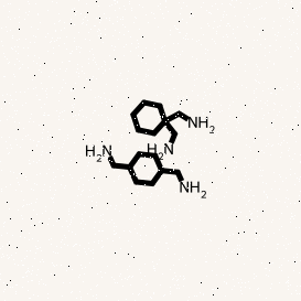 NCC1(CN)CCCCC1.NCC1CCC(CN)CC1